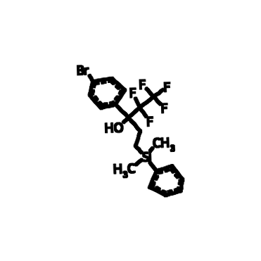 C[Si](C)(CCC(O)(c1ccc(Br)cc1)C(F)(F)C(F)(F)F)c1ccccc1